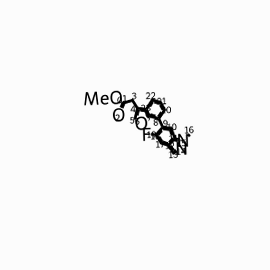 COC(=O)Cc1coc2c(-c3cc4c(cnn4C)cc3F)cccc12